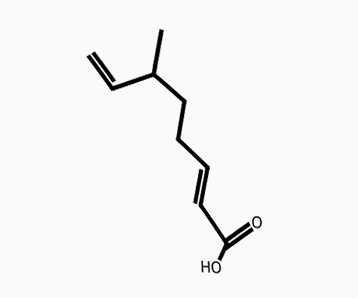 C=CC(C)CC/C=C/C(=O)O